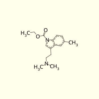 CCOC(=O)n1cc(CCN(C)C)c2cc(C)ccc21